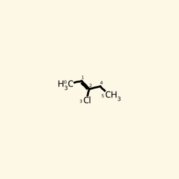 CC=C(Cl)CC